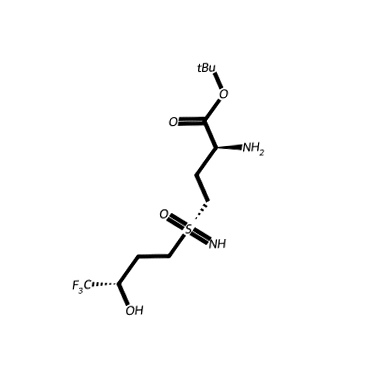 CC(C)(C)OC(=O)[C@@H](N)CC[S@@](=N)(=O)CC[C@H](O)C(F)(F)F